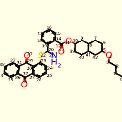 CCCCOC1CCC2CC(OC(=O)c3ccccc3C(N)Sc3cccc4c3C(=O)c3ccccc3C4=O)CCC2C1